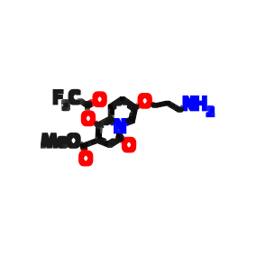 COC(=O)c1cc(=O)n2cc(OCCCN)ccc2c1OC(=O)C(F)(F)F